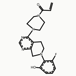 C=CC(=O)N1CCN(c2ncnc3c2CCN(c2c(O)cccc2F)C3)CC1